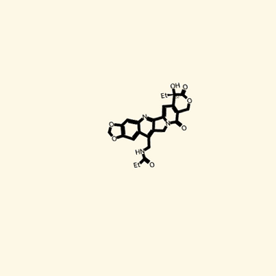 CCC(=O)NCc1c2c(nc3cc4c(cc13)OCO4)-c1cc3c(c(=O)n1C2)COC(=O)[C@]3(O)CC